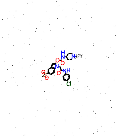 CC(C)N1CCC(NC(=O)Oc2cc3cc(S(C)(=O)=O)ccc3n2CC(=O)Nc2ccc(Cl)cc2)CC1